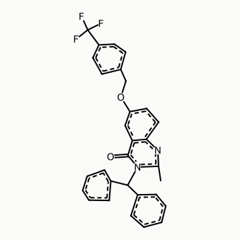 Cc1nc2ccc(OCc3ccc(C(F)(F)F)cc3)cc2c(=O)n1C(c1ccccc1)c1ccccc1